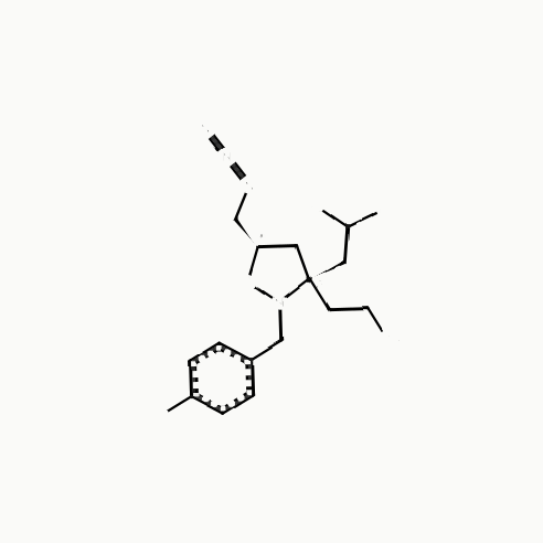 CC(C)C[C@]1(CCO)C[C@H](CN=[N+]=[N-])ON1Cc1ccc(O)cc1